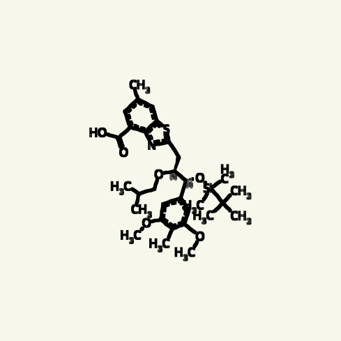 COc1cc([C@@H](O[Si](C)(C)C(C)(C)C)[C@H](Cc2nc3c(C(=O)O)cc(C)cc3s2)OCC(C)C)cc(OC)c1C